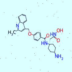 Cc1cc(COc2ccc(C(=O)N[C@]3(CC(=O)NO)CC[C@H](N)CC3)cc2)c2ccccc2n1